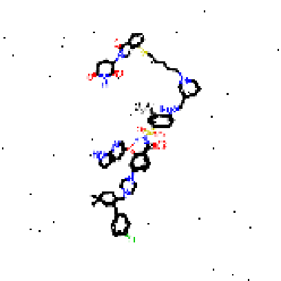 CC1(C)CCC(CN2CCN(c3ccc(C(=O)NS(=O)(=O)c4ccc(NCC5CCCN(CCCCCSc6cccc7c6CN(C6CCC(=O)NC6=O)C7=O)C5)c([N+](=O)[O-])c4)c(Oc4cnc5[nH]ccc5c4)c3)CC2)=C(c2ccc(Cl)cc2)C1